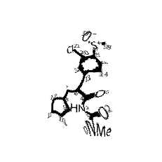 CNC(=O)NC(=O)C(CC1CCCC1)c1ccc([S+](C)[O-])c(Cl)c1